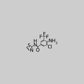 Nc1c(Cl)cc(C(=O)Nc2nccs2)cc1C(F)(F)F